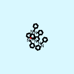 c1ccc(-c2nc3ccccc3n2-c2cc(-c3ccccc3-n3c(-c4ccccc4)nc4ccccc43)cc(-n3c(-c4ccccc4)nc4ccccc43)n2)cc1